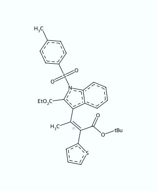 CCOC(=O)c1c(/C(C)=C(\C(=O)OC(C)(C)C)c2cccs2)c2ccccc2n1S(=O)(=O)c1ccc(C)cc1